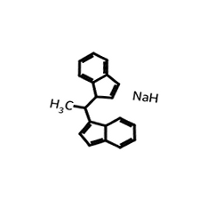 CC(C1=CC=C2C=CC=CC21)C1C=Cc2ccccc21.[NaH]